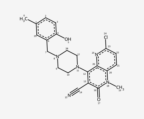 Cc1ccc(O)c(CN2CCN(c3c(C#N)c(=O)n(C)c4ccc(Cl)nc34)CC2)c1